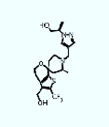 C=C(CO)n1cc(CN2CC[C@]3(C[C@@H]2C)OCCc2c3sc(C(F)(F)F)c2CO)cn1